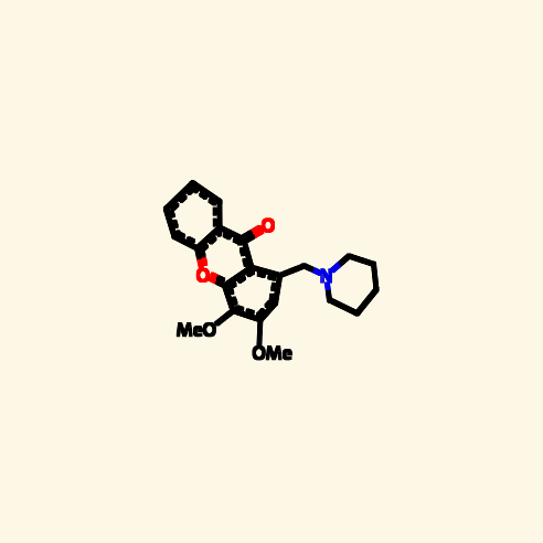 COc1cc(CN2CCCCC2)c2c(=O)c3ccccc3oc2c1OC